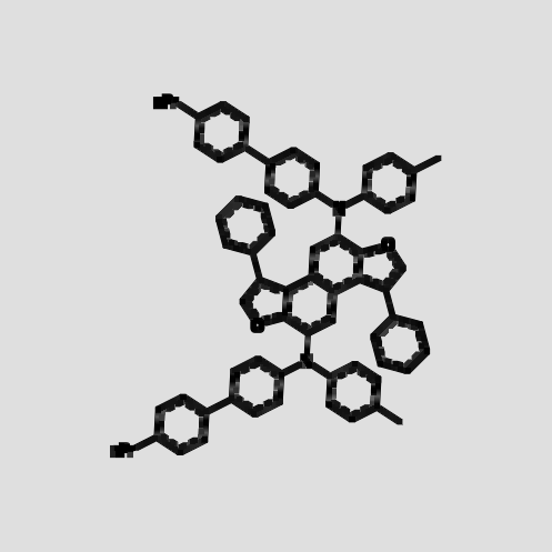 CCCc1ccc(-c2ccc(N(c3ccc(C)cc3)c3cc4c(cc(N(c5ccc(C)cc5)c5ccc(-c6ccc(CCC)cc6)cc5)c5occ(-c6ccccc6)c54)c4c(-c5ccccc5)coc34)cc2)cc1